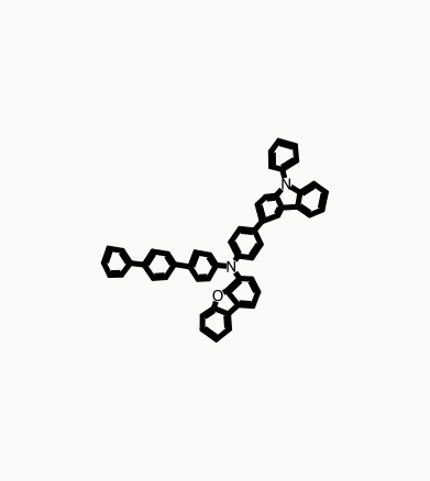 c1ccc(-c2ccc(-c3ccc(N(c4ccc(-c5ccc6c(c5)c5ccccc5n6-c5ccccc5)cc4)c4cccc5c4oc4ccccc45)cc3)cc2)cc1